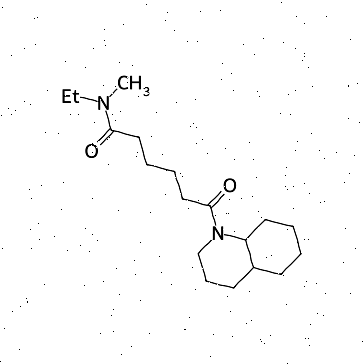 CCN(C)C(=O)CCCCC(=O)N1CCCC2CCCCC21